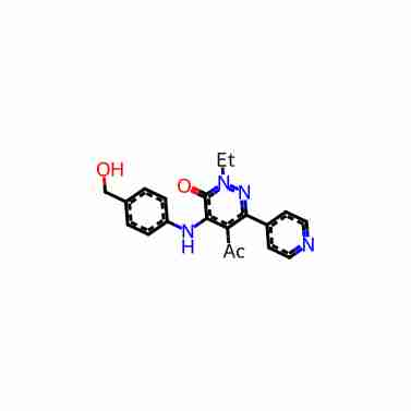 CCn1nc(-c2ccncc2)c(C(C)=O)c(Nc2ccc(CO)cc2)c1=O